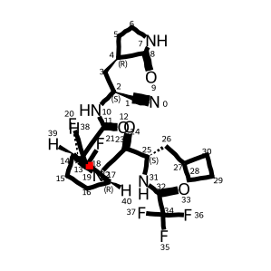 N#C[C@H](C[C@H]1CCNC1=O)NC(=O)[C@@H]1[C@H]2CC[C@H](CC2(F)F)N1C(=O)[C@H](CC1CCC1)NC(=O)C(F)(F)F